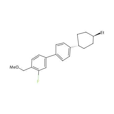 CC[C@H]1CC[C@H](c2ccc(-c3ccc(COC)c(F)c3)cc2)CC1